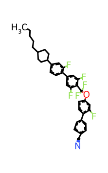 CCCCCC1CCC(c2ccc(-c3cc(F)c(C(F)(F)Oc4ccc(-c5ccc(C#N)cc5)c(F)c4)c(F)c3)c(F)c2)CC1